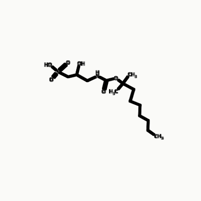 CCCCCCCC(C)(C)OC(=O)NCC(O)CS(=O)(=O)O